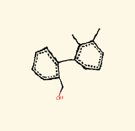 Cc1cccc(-c2ccccc2CO)c1C